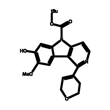 COc1cc2c3c(C4=CCOCC4)nccc3n(C(=O)OC(C)(C)C)c2cc1O